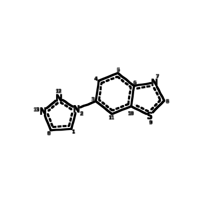 c1cn(-c2ccc3ncsc3c2)nn1